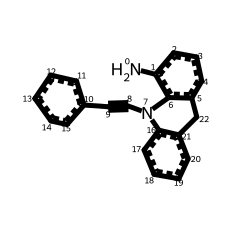 Nc1cccc2c1N(C#Cc1ccccc1)c1ccccc1C2